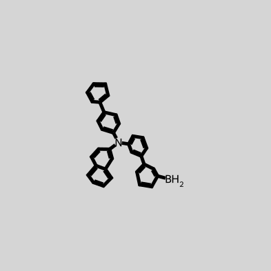 Bc1cccc(-c2cccc(N(c3ccc(-c4ccccc4)cc3)c3ccc4ccccc4c3)c2)c1